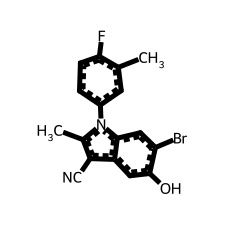 Cc1cc(-n2c(C)c(C#N)c3cc(O)c(Br)cc32)ccc1F